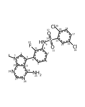 Cn1cc(-c2cccc(NS(=O)(=O)c3cc(Cl)ccc3Cl)c2F)c2c(N)ncnc21